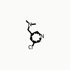 CN(C)Cc1cn[c]c(Cl)c1